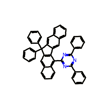 c1ccc(-c2nc(-c3ccccc3)nc(-c3c4c(cc5ccccc35)C(c3ccccc3)(c3ccccc3)c3cc5ccccc5cc3-4)n2)cc1